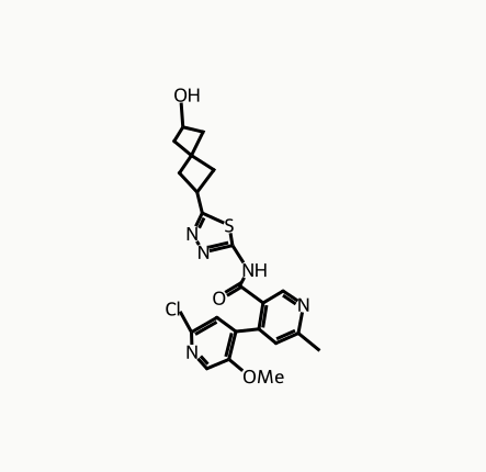 COc1cnc(Cl)cc1-c1cc(C)ncc1C(=O)Nc1nnc(C2CC3(CC(O)C3)C2)s1